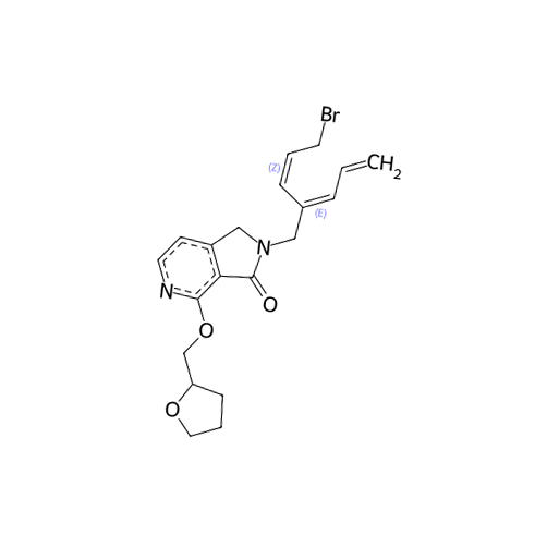 C=C/C=C(\C=C/CBr)CN1Cc2ccnc(OCC3CCCO3)c2C1=O